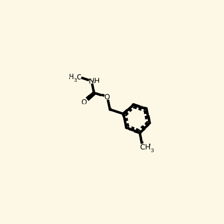 CNC(=O)OCc1cccc(C)c1